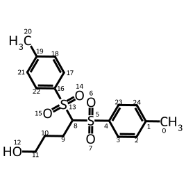 Cc1ccc(S(=O)(=O)C(CCCO)S(=O)(=O)c2ccc(C)cc2)cc1